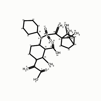 C=C(C(=O)O)C1CCC(N(C2CCCCC2)S(=O)(=O)C(=C)C23CCC(CC2O)C3(C)C)C(C(=O)O)C1C